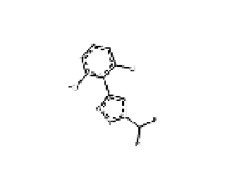 Oc1cccc(Cl)c1-c1cc(C(F)F)no1